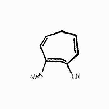 CNC1=C(C#N)C=CCC=C1